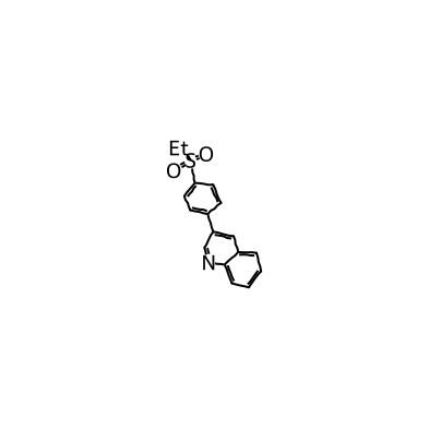 CCS(=O)(=O)c1ccc(-c2cnc3ccccc3c2)cc1